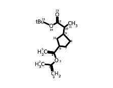 C=C(C)OC(=C)C1CCC(C(C)C(=O)OC(C)(C)C)C1